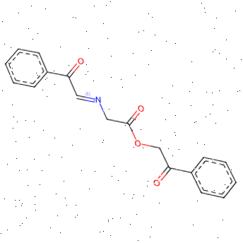 O=C(C/N=C/C(=O)c1ccccc1)OCC(=O)c1ccccc1